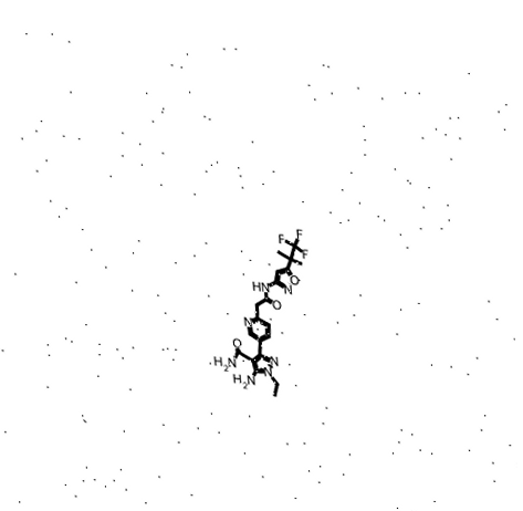 CCn1nc(-c2ccc(CC(=O)Nc3cc(C(C)(C)C(F)(F)F)on3)nc2)c(C(N)=O)c1N